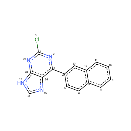 Clc1nc(-c2ccc3ccccc3c2)c2nc[nH]c2n1